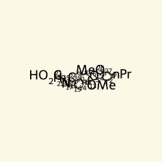 CCCc1ccc(COc2ccc3c(c2OC)CCC(CN2CC(C(=O)O)C2)=C3C)c(OC)c1